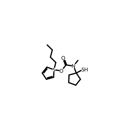 CCCCS1(OC(=O)N(C)C2(S)CCCC2)C=CC=C1